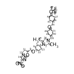 C[C@@H]1CN(c2ccc(OCC3CCn4cc([N+](=O)[O-])nc4O3)cc2)[C@@H](C)CN1Cc1ccc(OCc2ccc(OC(F)(F)F)cc2)cc1